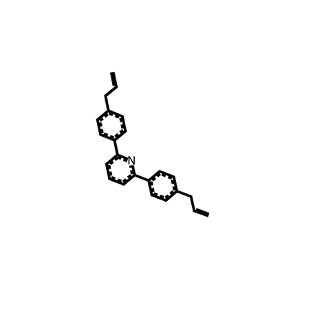 C=CCc1ccc(-c2cccc(-c3ccc(CC=C)cc3)n2)cc1